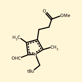 COC(=O)CCc1c(C)c(C=O)n(CC(C)(C)C)c1C